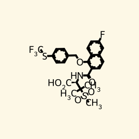 CC(C)([C@H](NC(=O)c1ccc2cc(F)ccc2c1OCc1ccc(SC(F)(F)F)cc1)C(=O)O)S(C)(=O)=O